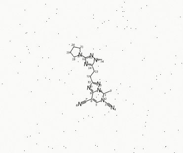 CC1N(C#N)C=C(C#N)c2nc(CCc3nc(N4CCCC4)nn3C)nn21